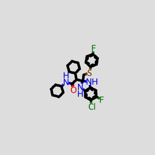 O=C(NC1CCCCC1)C(C1CCCCC1)C1(CSc2ccc(F)cc2)Nc2cc(F)c(Cl)cc2N1